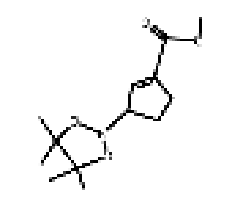 COC(=O)C1=CC(B2OC(C)(C)C(C)(C)O2)CC1